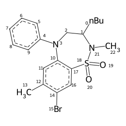 CCCCC1CN(c2ccccc2)c2cc(C)c(Br)cc2S(=O)(=O)N1C